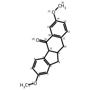 COc1ccc2c(c1)CC1Cc3ccc(OC)cc3C(=O)C21